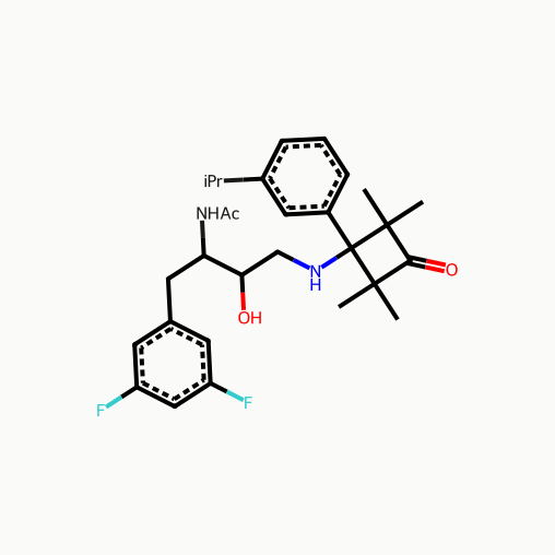 CC(=O)NC(Cc1cc(F)cc(F)c1)C(O)CNC1(c2cccc(C(C)C)c2)C(C)(C)C(=O)C1(C)C